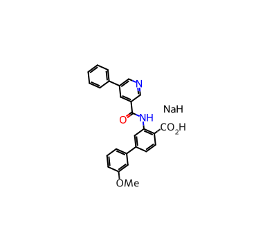 COc1cccc(-c2ccc(C(=O)O)c(NC(=O)c3cncc(-c4ccccc4)c3)c2)c1.[NaH]